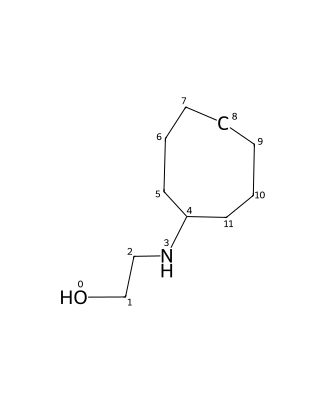 OCCNC1CCCCCCC1